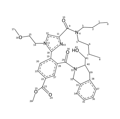 CCCCN(CCCC)C(=O)c1cn(CCOC)c(-c2ccc(C(=O)OC)cc2C(=O)N2Cc3ccccc3CC2CO)n1